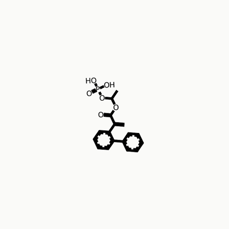 C=C(C(=O)OC(C)OP(=O)(O)O)c1ccccc1-c1ccccc1